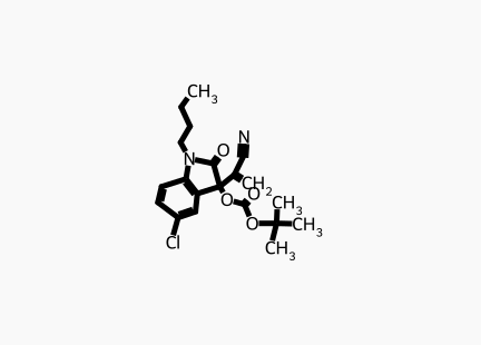 C=C(C#N)C1(OC(=O)OC(C)(C)C)C(=O)N(CCCC)c2ccc(Cl)cc21